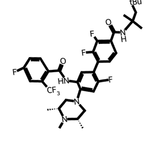 C[C@@H]1CN(c2cc(F)c(-c3ccc(C(=O)NC(C)(C)CC(C)(C)C)c(F)c3F)cc2NC(=O)c2ccc(F)cc2C(F)(F)F)C[C@H](C)N1C